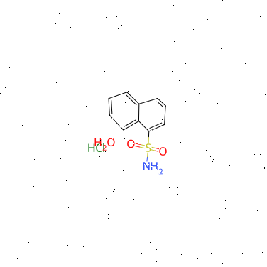 Cl.NS(=O)(=O)c1cccc2ccccc12.O